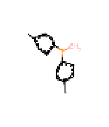 BP(c1ccc(C)cc1)c1ccc(C)cc1